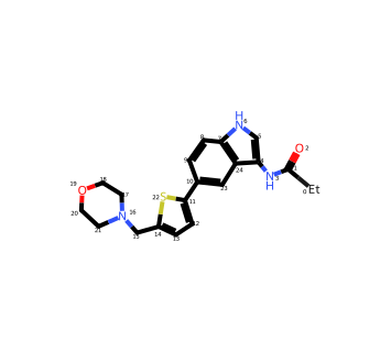 CCC(=O)Nc1c[nH]c2ccc(-c3ccc(CN4CCOCC4)s3)cc12